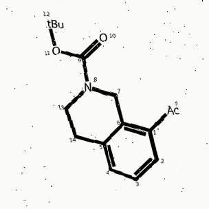 CC(=O)c1cccc2c1CN(C(=O)OC(C)(C)C)CC2